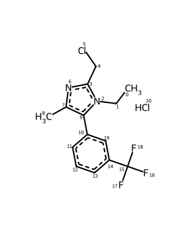 CCn1c(CCl)nc(C)c1-c1cccc(C(F)(F)F)c1.Cl